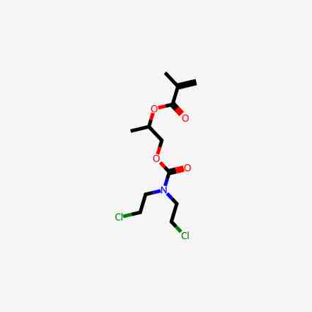 C=C(C)C(=O)OC(C)COC(=O)N(CCCl)CCCl